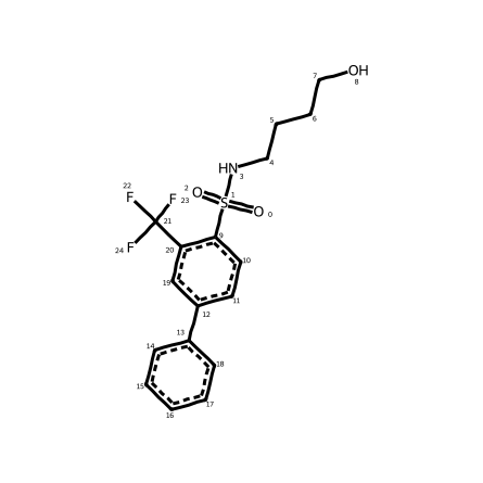 O=S(=O)(NCCCCO)c1ccc(-c2ccccc2)cc1C(F)(F)F